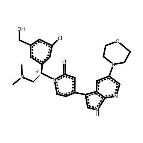 CN(C)C[C@H](c1cc(Cl)cc(CO)c1)n1ccc(-c2c[nH]c3ncc(N4CCOCC4)cc23)cc1=O